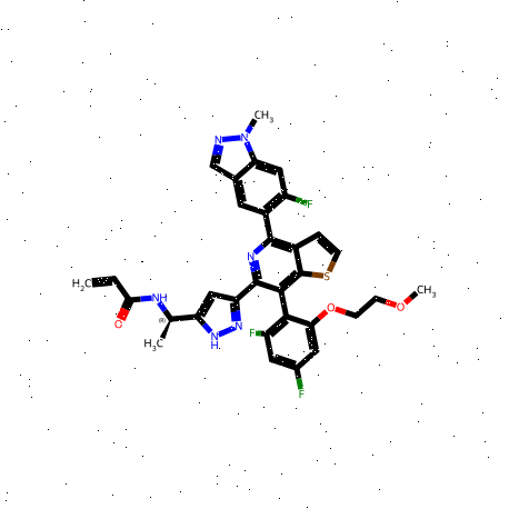 C=CC(=O)N[C@H](C)c1cc(-c2nc(-c3cc4cnn(C)c4cc3F)c3ccsc3c2-c2c(F)cc(F)cc2OCCOC)n[nH]1